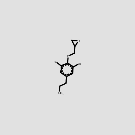 CCCc1cc(Br)c(OCC2CO2)c(Br)c1